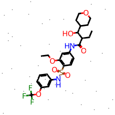 CCOc1cc(NC(=O)C(CC)C(O)C2CCOCC2)ccc1S(=O)(=O)Nc1cccc(OC(F)(F)F)c1